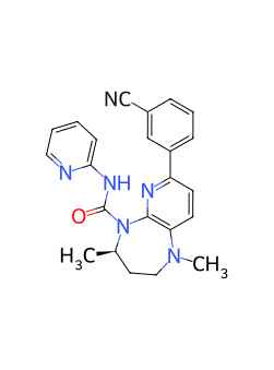 C[C@@H]1CCN(C)c2ccc(-c3cccc(C#N)c3)nc2N1C(=O)Nc1ccccn1